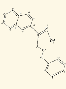 ON=C(COCc1ccccc1)c1ccc2ccccc2c1